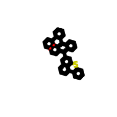 c1ccc(-c2ccccc2-c2c3ccccc3c(-c3cc4c5c(cccc5c3)-c3ccccc3S4)c3ccccc23)cc1